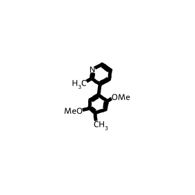 COc1cc(-c2cccnc2C)c(OC)cc1C